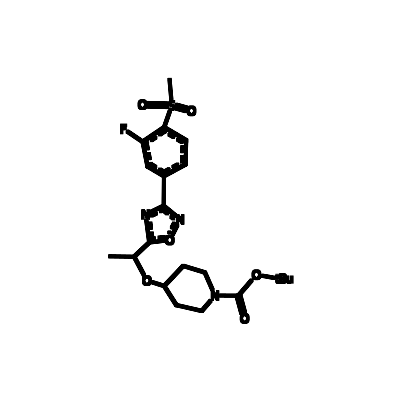 CC(OC1CCN(C(=O)OC(C)(C)C)CC1)c1nc(-c2ccc(S(C)(=O)=O)c(F)c2)no1